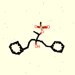 CC(OS(C)(=O)=O)C(O)(CCc1ccccc1)CCc1ccccc1